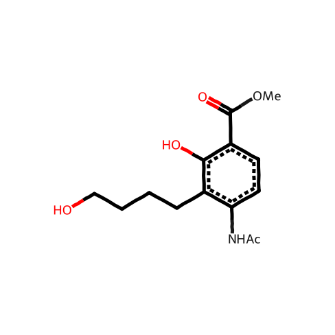 COC(=O)c1ccc(NC(C)=O)c(CCCCO)c1O